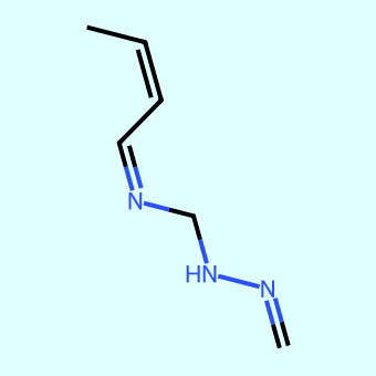 C=NNC/N=C\C=C/C